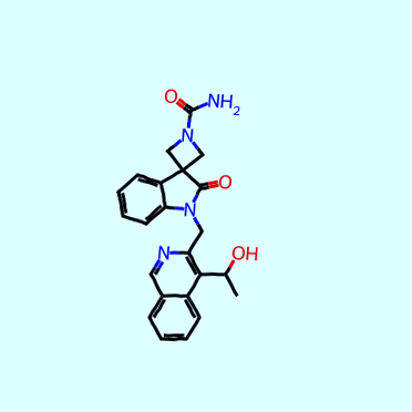 CC(O)c1c(CN2C(=O)C3(CN(C(N)=O)C3)c3ccccc32)ncc2ccccc12